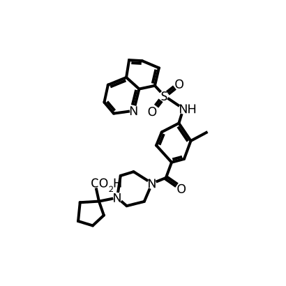 Cc1cc(C(=O)N2CCN(C3(C(=O)O)CCCC3)CC2)ccc1NS(=O)(=O)c1cccc2cccnc12